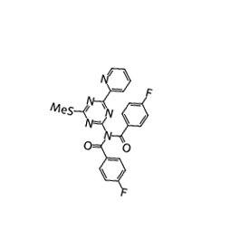 CSc1nc(-c2ccccn2)nc(N(C(=O)c2ccc(F)cc2)C(=O)c2ccc(F)cc2)n1